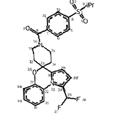 CC(C)S(=O)(=O)c1ccc(C(=O)N2CCC3(CC2)Oc2ccccc2-n2c(C(F)F)ccc23)cc1